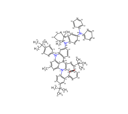 Cc1cc2c3c(c1)N(c1ccc(C(C)(C)C)cc1-c1ccccc1)c1ccc(C(C)(C)C)cc1B3c1ccc(N3c4ccc(N(c5ccccc5)c5ccccc5)cc4C4(C)CCCCC34C)cc1N2c1ccc(C(C)(C)C)cc1